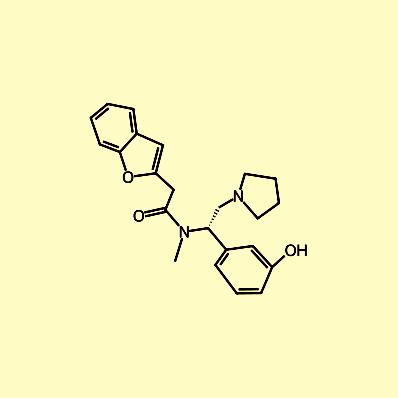 CN(C(=O)Cc1cc2ccccc2o1)[C@H](CN1CCCC1)c1cccc(O)c1